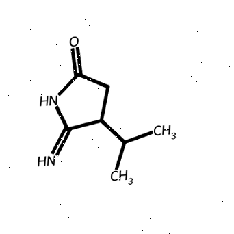 CC(C)C1CC(=O)NC1=N